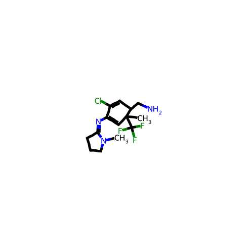 CN1CCCC1=NC1=CC(C)(C(F)(F)F)C(CN)C=C1Cl